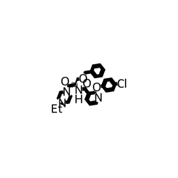 CCN1CCN(C(=O)[C@@H](COCc2ccccc2)NC(=O)c2cccnc2Oc2ccc(Cl)cc2)CC1